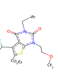 CCOC(=O)c1sc2c(c1C(F)F)c(=O)n(CC(C)C)c(=O)n2CCOC(F)(F)F